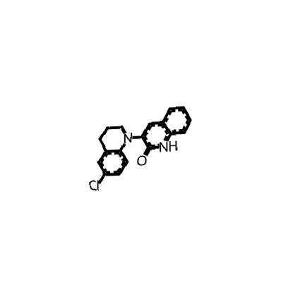 O=c1[nH]c2ccccc2cc1N1CCCc2cc(Cl)ccc21